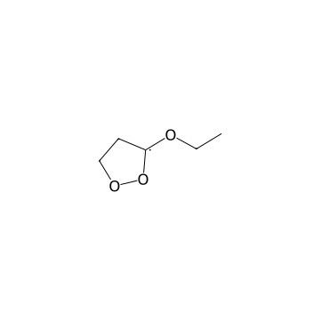 CCO[C]1CCOO1